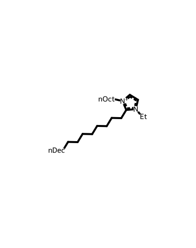 CCCCCCCCCCCCCCCCCCc1n(CC)cc[n+]1CCCCCCCC